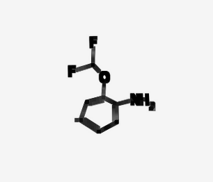 Nc1cc[c]cc1OC(F)F